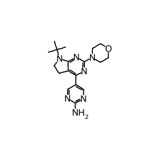 CC(C)(C)N1CCc2c(-c3cnc(N)nc3)nc(N3CCOCC3)nc21